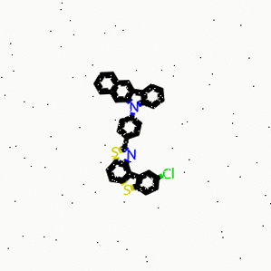 Clc1ccc2sc3ccc4sc(-c5ccc(-n6c7ccccc7c7cc8ccccc8cc76)cc5)nc4c3c2c1